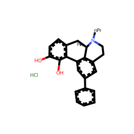 CCCN1CCc2cc(-c3ccccc3)cc3c2[C@H]1Cc1ccc(O)c(O)c1-3.Cl